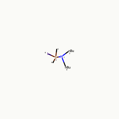 CCCCN(CCCC)S(C)(C)I